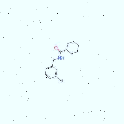 CCc1cccc(CNC(=O)C2CCCCC2)c1